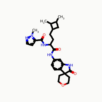 CC1CC(CCC(NC(=O)c2ccnn2C)C(=O)Nc2ccc3c(c2)NC(=O)C32CCOCC2)C1C